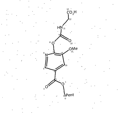 CCCCCOC(=O)c1cnc(OC(=O)NCC(=O)O)c(OC)c1